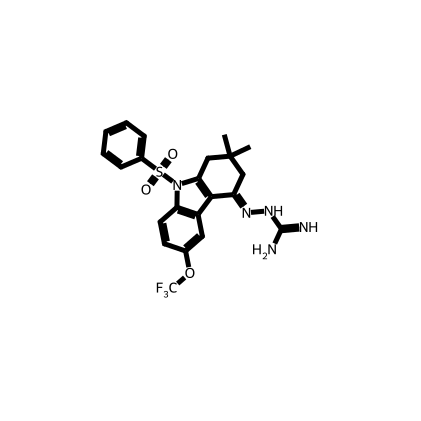 CC1(C)CC(=NNC(=N)N)c2c(n(S(=O)(=O)c3ccccc3)c3ccc(OC(F)(F)F)cc23)C1